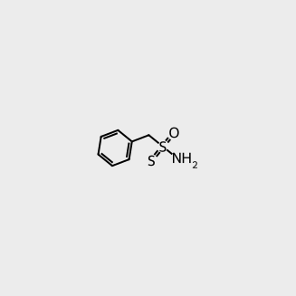 NS(=O)(=S)Cc1ccccc1